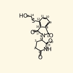 O=C1CCC(N2C(=O)c3cccc(SCO)c3C2=O)C(=O)N1